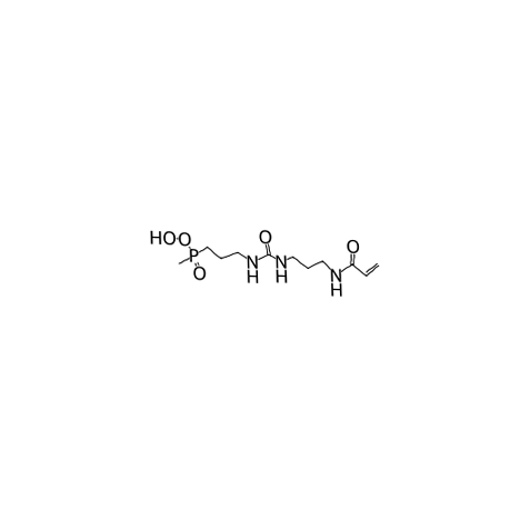 C=CC(=O)NCCCNC(=O)NCCCP(C)(=O)OO